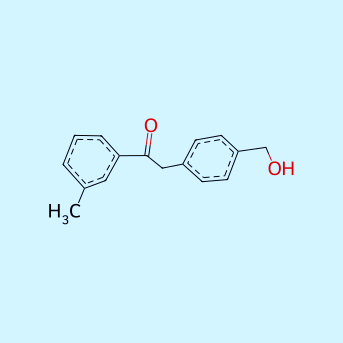 Cc1cccc(C(=O)Cc2ccc(CO)cc2)c1